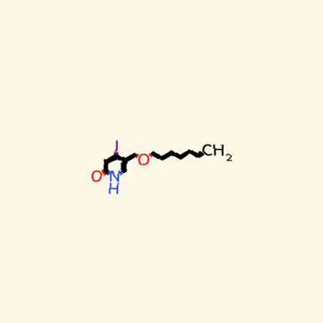 C=CCCCCCOCc1c[nH]c(=O)cc1I